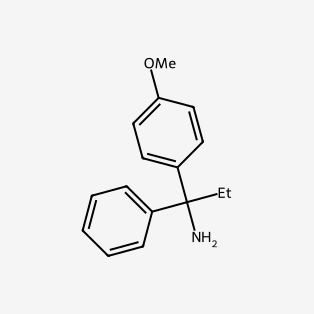 [CH2]CC(N)(c1ccccc1)c1ccc(OC)cc1